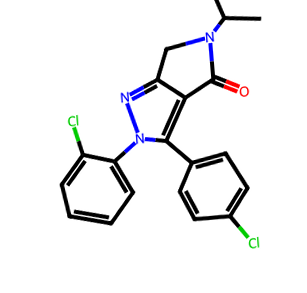 CC(C)N1Cc2nn(-c3ccccc3Cl)c(-c3ccc(Cl)cc3)c2C1=O